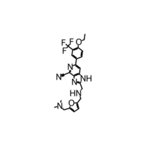 CCOc1ccc(-c2cc3[nH]c(CNCc4ccc(CN(C)C)o4)nc3c(C#N)n2)cc1C(F)(F)F